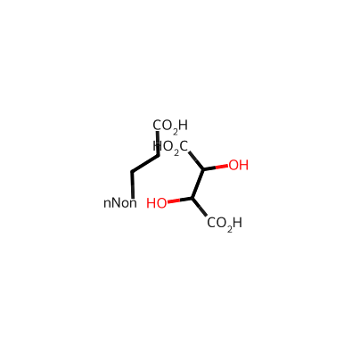 CCCCCCCCCCCC(=O)O.O=C(O)C(O)C(O)C(=O)O